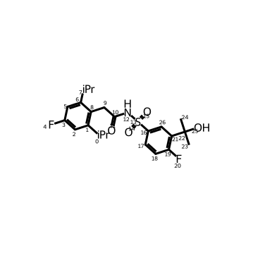 CC(C)c1cc(F)cc(C(C)C)c1CC(=O)NS(=O)(=O)c1ccc(F)c(C(C)(C)O)c1